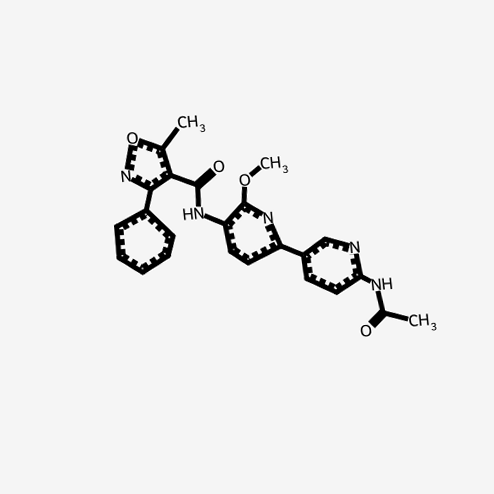 COc1nc(-c2ccc(NC(C)=O)nc2)ccc1NC(=O)c1c(-c2ccccc2)noc1C